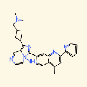 Cc1cc(-c2ccccn2)nc2cc(C3=NC(C4CC(CN(C)C)C4)=C4C=NC=C[N+]34N)ccc12